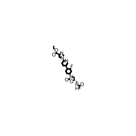 CCOC(=O)c1cn(-c2ccc(-c3ccc(N4C[C@H](CNC(C)=O)OC4=O)cc3F)cn2)cn1